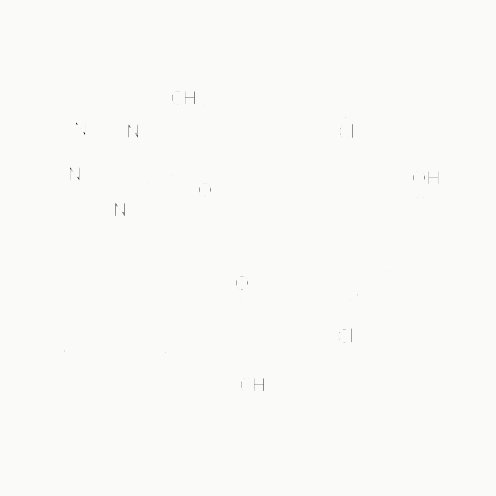 C#Cc1cccc(-n2nnn(C)c2=O)c1COc1cc(Cl)c(O)cc1Cl